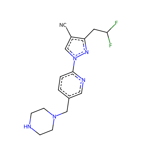 N#Cc1cn(-c2ccc(CN3CCNCC3)cn2)nc1CC(F)F